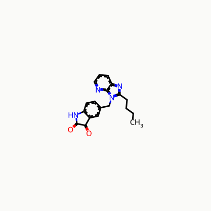 CCCCc1nc2cccnc2n1Cc1ccc2c(c1)C(=O)C(=O)N2